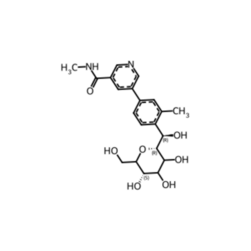 CNC(=O)c1cncc(-c2ccc([C@@H](O)[C@H]3OC(CO)[C@@H](O)C(O)C3O)c(C)c2)c1